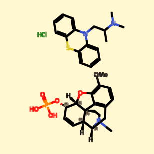 CC(CN1c2ccccc2Sc2ccccc21)N(C)C.COc1ccc2c3c1O[C@H]1[C@@H](OP(=O)(O)O)C=C[C@H]4[C@@H](C2)N(C)CC[C@@]341.Cl